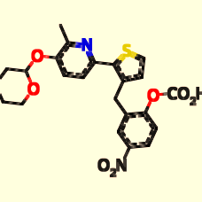 Cc1nc(-c2sccc2Cc2cc([N+](=O)[O-])ccc2OC(=O)O)ccc1OC1CCCCO1